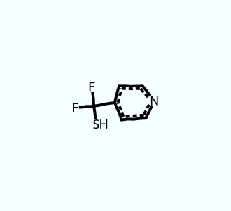 FC(F)(S)c1ccncc1